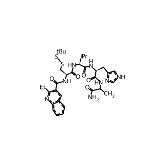 CCc1nc2ccccc2cc1C(=O)N[C@@H](CSSC(C)(C)C)C(=O)N[C@H](C(=O)N[C@@H](Cc1c[nH]cn1)C(=O)NC(C)C(N)=O)C(C)C